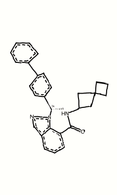 C[C@@H](c1ccc(-c2ccccc2)cc1)n1ncc2cccc(C(=O)NC3CC4(CCC4)C3)c21